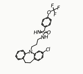 N=S(=O)(NCCCN1c2ccccc2CCc2ccc(Cl)cc21)c1ccc(OC(F)(F)F)cc1